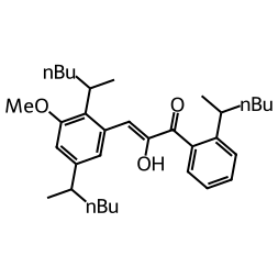 CCCCC(C)c1cc(C=C(O)C(=O)c2ccccc2C(C)CCCC)c(C(C)CCCC)c(OC)c1